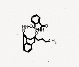 CCCCC12Cc3cccc4c3c(cn4NOS3(NC(=O)c4ccccc43)O1)C2